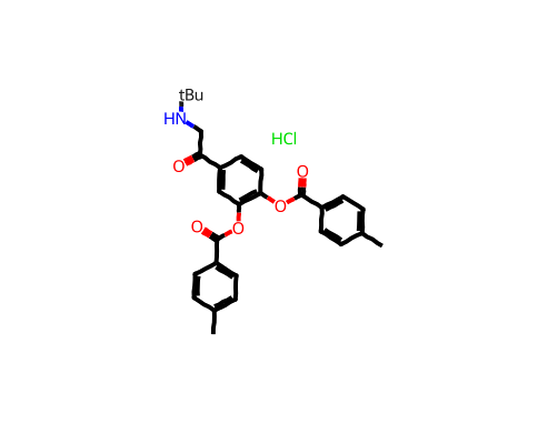 Cc1ccc(C(=O)Oc2ccc(C(=O)CNC(C)(C)C)cc2OC(=O)c2ccc(C)cc2)cc1.Cl